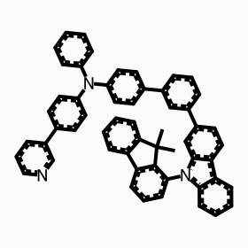 CC1(C)c2ccccc2-c2cccc(-n3c4ccccc4c4ccc(-c5cccc(-c6ccc(N(c7ccccc7)c7ccc(-c8cccnc8)cc7)cc6)c5)cc43)c21